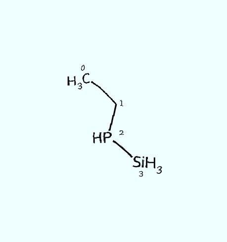 CCP[SiH3]